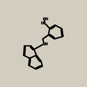 OBc1ccccc1CNc1cccc2ccccc12